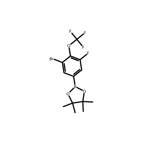 CC1(C)OB(c2cc(F)c(OC(F)(F)F)c(Br)c2)OC1(C)C